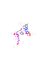 CC[C@@]1(O)C(=O)OCc2c1cc1n(c2=O)Cc2c-1nc1cc(F)c(C)c3c1c2[C@@H](NC(=O)CCCCN(CC(N)=O)C(=O)[C@H](Cc1ccccc1)NC(=O)CNC(=O)CNC(=O)OC(C)(C)C)CC3